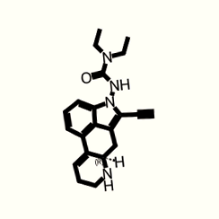 C#Cc1c2c3c(cccc3n1NC(=O)N(CC)CC)C1=CCCN[C@@H]1C2